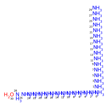 N.N.N.N.N.N.N.N.N.N.N.N.N.N.N.N.N.N.N.N.N.N.N.N.N.N.N.N.N.N.O